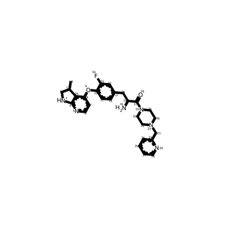 CC1CNc2nccc(Oc3ccc(CC(N)C(=O)N4CCN(Cc5ccccn5)CC4)cc3F)c21